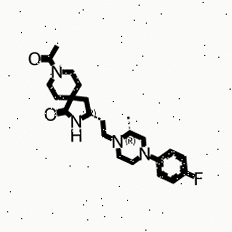 CC(=O)N1CCC2(CC1)C[C@H](CCN1CCN(c3ccc(F)cc3)C[C@H]1C)NC2=O